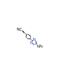 CCCc1cnc(-c2ccc(C#CC#N)cc2)nc1